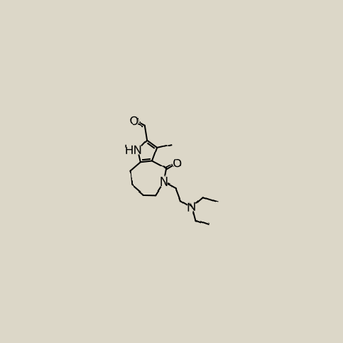 CCN(CC)CCN1CCCCc2[nH]c(C=O)c(C)c2C1=O